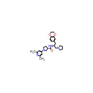 Cc1cc(N2CC[C@@H](C(=O)NC(Cc3ccc4c(c3)OCCO4)CN3CCCC3)C2)cc(C)n1